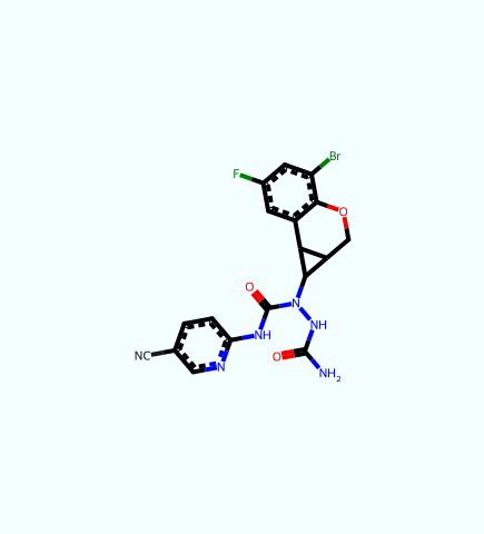 N#Cc1ccc(NC(=O)N(NC(N)=O)C2C3COc4c(Br)cc(F)cc4C32)nc1